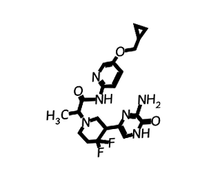 CC(C(=O)Nc1ccc(OCC2CC2)cn1)N1CCC(F)(F)C(c2c[nH]c(=O)c(N)n2)C1